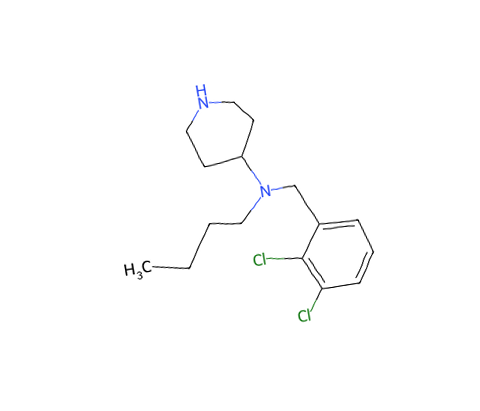 CCCCN(Cc1cccc(Cl)c1Cl)C1CCNCC1